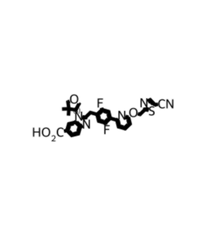 CC1(C)COC[C@@H]1n1c(Cc2cc(F)c(-c3cccc(OCc4ncc(C#N)s4)n3)cc2F)nc2ccc(C(=O)O)cc21